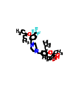 Cc1cc(CN2CCN(Cc3ccc(C(F)(F)F)c(OC(C)C)c3)CC2)cc(C)c1OC(C)(C)C(=O)O